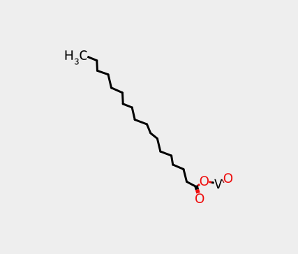 CCCCCCCCCCCCCCCCCC(=O)[O][V]=[O]